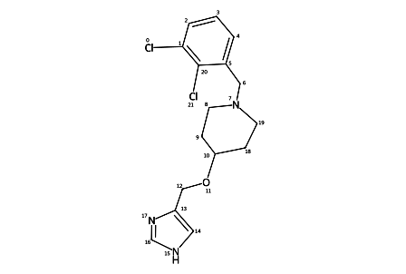 Clc1cccc(CN2CCC(OCc3c[nH]cn3)CC2)c1Cl